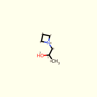 CC(O)CN1C[CH]C1